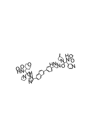 C=C1C[C@@H](C2=NCC(c3ccc(-c4ccc5cc(-c6cnc([C@@H]7CCCN7C(=O)[C@@H](NC(=O)OC)C7CCOCC7)[nH]6)ccc5c4)cc3)N2)N(C(=O)C(NC(=O)OC)c2cccnc2)C1